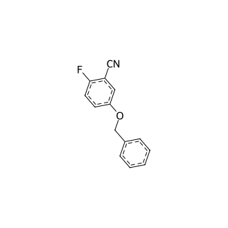 N#Cc1cc(OCc2ccccc2)ccc1F